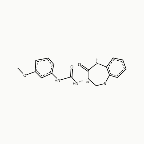 COc1cccc(NC(=O)N[C@H]2CSc3ccccc3NC2=O)c1